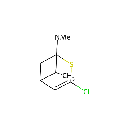 CNC12CC(C=C(Cl)S1)C2C